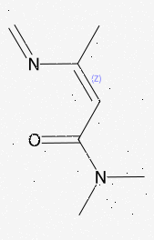 C=N/C(C)=C\C(=O)N(C)C